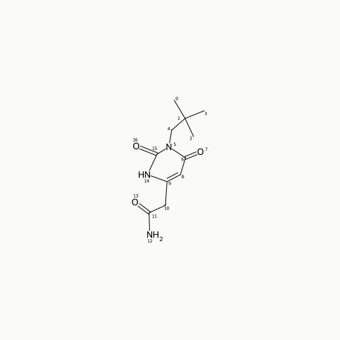 CC(C)(C)Cn1c(=O)cc(CC(N)=O)[nH]c1=O